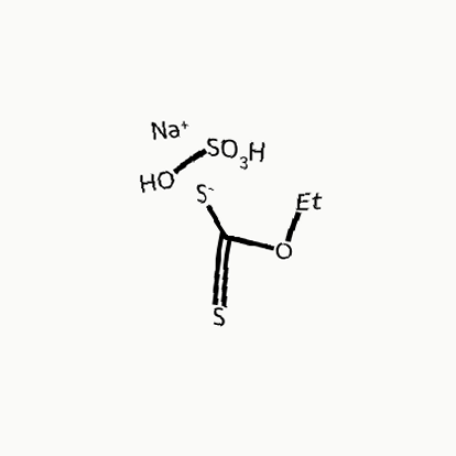 CCOC(=S)[S-].O=S(=O)(O)O.[Na+]